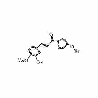 COc1ccc(/C=C/C(=O)c2ccc(OC(C)C)cc2)cc1O